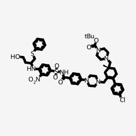 CC(C)(C)OC(=O)N1CCN(C[C@]2(C)CCC(c3ccc(Cl)cc3)=C(CN3CCN(c4ccc(C(=O)NS(=O)(=O)c5ccc(NC(CCO)CSc6ccccc6)c([N+](=O)[O-])c5)cc4)CC3)C2)CC1